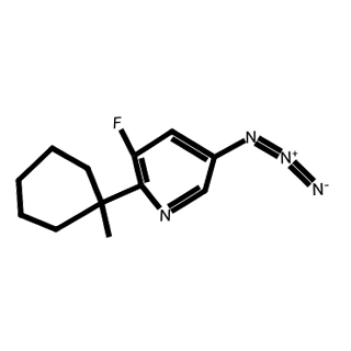 CC1(c2ncc(N=[N+]=[N-])cc2F)CCCCC1